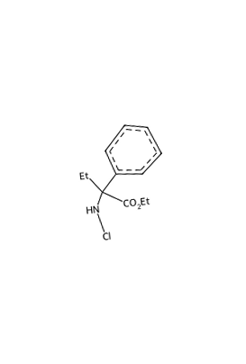 CCOC(=O)C(CC)(NCl)c1ccccc1